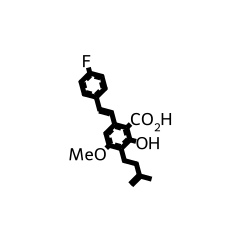 C=C(C)CCc1c(OC)cc(/C=C/c2ccc(F)cc2)c(C(=O)O)c1O